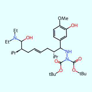 CCN(CC)C(O)[C@@H](C/C=C/C[C@@H](C(C)C)C(NN(C(=O)OC(C)(C)C)C(=O)OC(C)(C)C)c1ccc(OC)c(O)c1)C(C)C